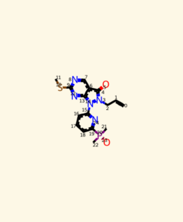 C=CCn1c(=O)c2cnc(SC)nc2n1-c1cccc(P(C)(C)=O)n1